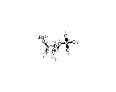 N.O=S(=O)([O-])OO.[Ba+2].[O-][Br+2]([O-])[O-]